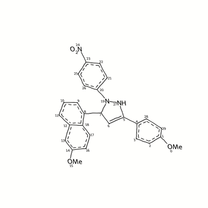 COc1ccc(C2=CC(c3cccc4cc(OC)ccc34)N(c3ccc([N+](=O)[O-])cc3)N2)cc1